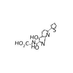 O=C(O)CNC(=O)c1ncc2nc(-c3cccs3)ccc2c1O